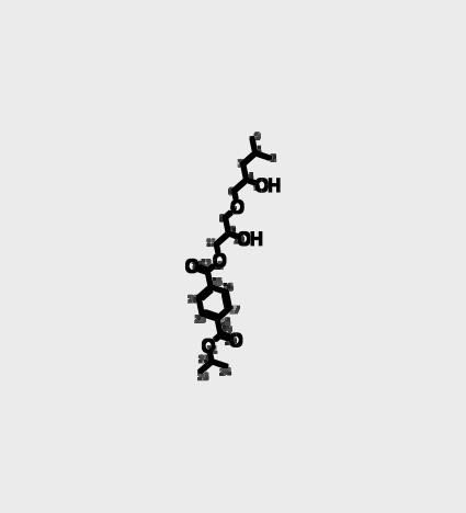 CC(C)CC(O)COCC(O)COC(=O)c1ccc(C(=O)OC(C)C)cc1